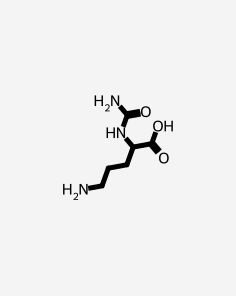 NCCCC(NC(N)=O)C(=O)O